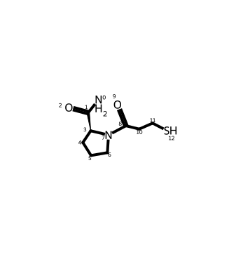 NC(=O)[C@@H]1CCCN1C(=O)CCS